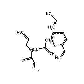 C=C(C)C(=O)O.C=CC#N.C=CCOC(=O)C=C.C=Cc1ccccc1